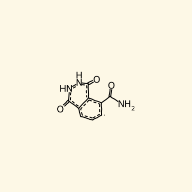 NC(=O)c1[c]ccc2c(=O)[nH][nH]c(=O)c12